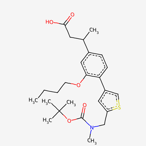 CCCCOc1cc(C(C)CC(=O)O)ccc1-c1csc(CN(C)C(=O)OC(C)(C)C)c1